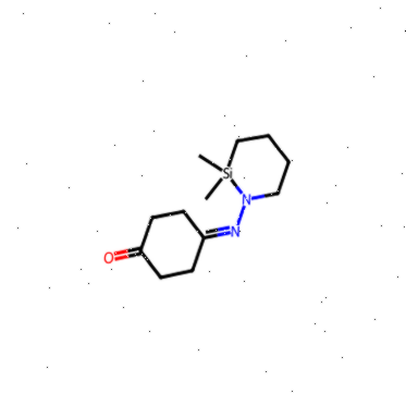 C[Si]1(C)CCCCN1N=C1CCC(=O)CC1